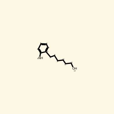 [NH]c1ccccc1CCCCCCO